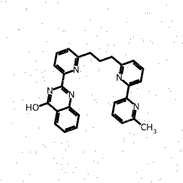 Cc1cccc(-c2cccc(CCCc3cccc(-c4nc(O)c5ccccc5n4)n3)n2)n1